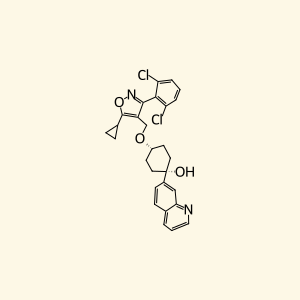 O[C@]1(c2ccc3cccnc3c2)CC[C@H](OCc2c(-c3c(Cl)cccc3Cl)noc2C2CC2)CC1